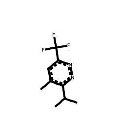 Cc1cc(C(F)(F)F)nnc1C(C)C